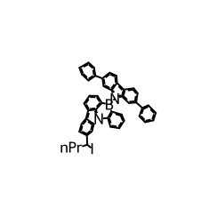 CCCC(I)c1ccc2c3cccc4c3n(c2c1)-c1ccccc1B4n1c2cc(-c3ccccc3)ccc2c2ccc(-c3ccccc3)cc21